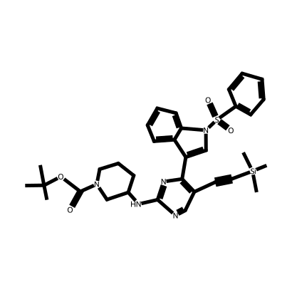 CC(C)(C)OC(=O)N1CCCC(Nc2ncc(C#C[Si](C)(C)C)c(-c3cn(S(=O)(=O)c4ccccc4)c4ccccc34)n2)C1